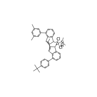 CCC1=Cc2c(-c3ccc(C(C)(C)C)cc3)cccc2[CH]1[Zr]([Cl])([Cl])([CH]1C(C)=Cc2c(-c3cc(C)cc(C)c3)cccc21)[SiH](C)C